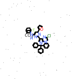 O=C(O)C1C2CCC(CC2)C1Nc1nc(-c2cn(C(c3ccccc3)(c3ccccc3)c3ccccc3)c3ncc(Cl)nc23)nc(-c2ccco2)c1F